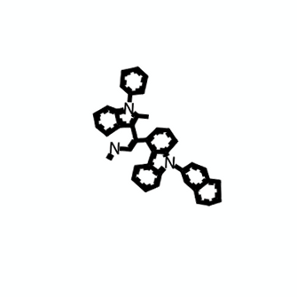 C=N/C=C(\c1c(C)n(-c2ccccc2)c2ccccc12)c1cccc2c1c1ccccc1n2-c1ccc2ccccc2c1